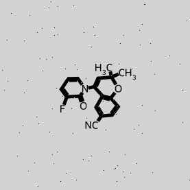 CC1(C)C=C(n2cccc(F)c2=O)c2cc(C#N)ccc2O1